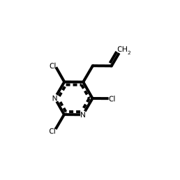 C=CCc1c(Cl)nc(Cl)nc1Cl